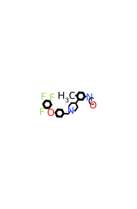 Cc1ccc(N=C=O)cc1C1CCN(Cc2ccc(Oc3cc(F)c(F)cc3F)cc2)CC1